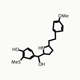 COc1ccc(CCC2CCC(C(O)c3ccc(O)c(SC)c3)N2)cc1